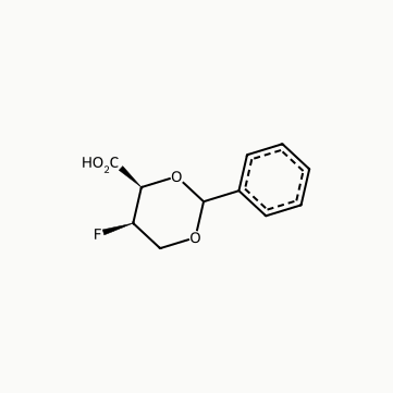 O=C(O)[C@H]1OC(c2ccccc2)OC[C@H]1F